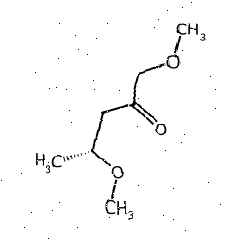 COCC(=O)C[C@@H](C)OC